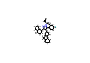 CC1(C)c2ccccc2-c2ccc(-c3c(-c4cccc5ccccc45)nn4c(C5CC5)cc5cc(F)ccc5c34)cc21